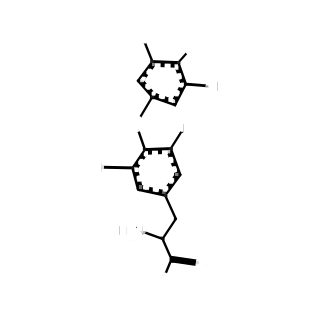 NC(Cc1cc(I)c(Oc2cc(Cl)c(O)c(I)c2)c(I)c1)C(=O)O